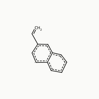 C=Cc1c[c]c2ccccc2c1